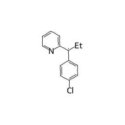 CC[C](c1ccc(Cl)cc1)c1ccccn1